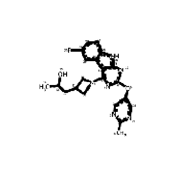 Cc1ncc(Oc2nc(N3CC(CC(C)O)C3)c3c(n2)[nH]c2[c]cc(F)cc23)cn1